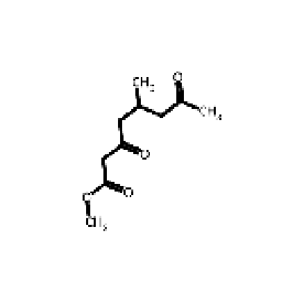 COC(=O)CC(=O)CC(C)CC(C)=O